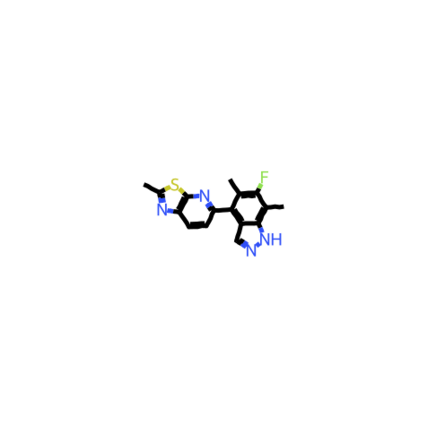 Cc1nc2ccc(-c3c(C)c(F)c(C)c4[nH]ncc34)nc2s1